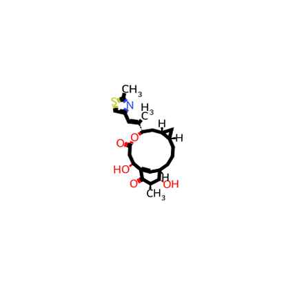 C/C(=C\c1csc(C)n1)[C@@H]1C[C@@H]2C[C@@H]2CCC[C@@H]2C=C(C(=O)[C@H](C)[C@H]2O)[C@@H](O)CC(=O)O1